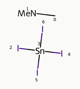 CNC.[I][Sn]([I])([I])[I]